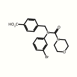 O=C(O)c1ccc(CN(C(=O)N2CCOCC2)c2cccc(Br)c2)cc1